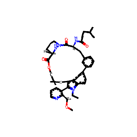 CCn1c(-c2cccnc2[C@H](C)OC)c2c3cc(ccc31)-c1cccc(c1)C[C@H](NC(=O)CC(C)C)C(=O)N1CCC[C@H](N1)C(=O)OCC(C)(C)C2